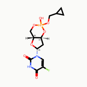 O=c1[nH]c(=O)n([C@H]2C[C@@H]3O[PH](O)(OCC4CC4)OC[C@H]3O2)cc1F